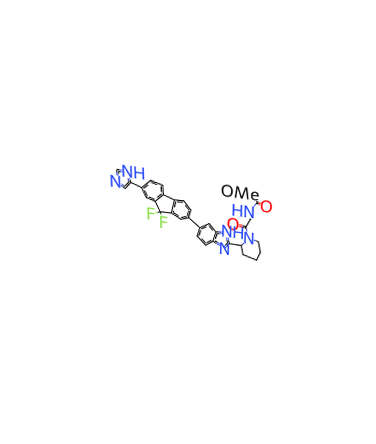 COC(=O)NCC(=O)N1CCCCC1c1nc2ccc(-c3ccc4c(c3)C(F)(F)c3cc(-c5cnc[nH]5)ccc3-4)cc2[nH]1